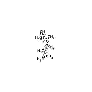 CCC(C)(CC(COC)OC)OCC(CC(C)(CC)OCC(COC)OC)OC